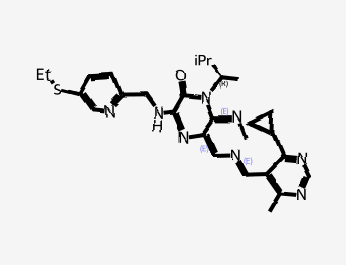 CCSc1ccc(CNC2=NC(=C/N=C/c3c(C)ncnc3C3CC3)/C(=N\C)N([C@H](C)C(C)C)C2=O)nc1